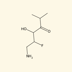 CC(C)C(=O)C(O)C(F)CN